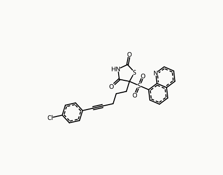 O=C1NC(=O)C(CCCC#Cc2ccc(Cl)cc2)(S(=O)(=O)c2cccc3cccnc23)S1